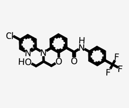 O=C(Nc1ccc(C(F)(F)F)cc1)c1cccc2c1OCC(CO)N2c1ccc(Cl)cn1